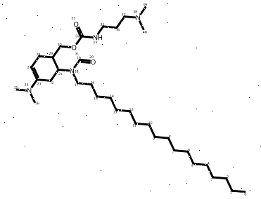 CCCCCCCCCCCCCCCCCCN(C=O)C1CC(N(C)C)=CCC1COC(=O)NCCCN(C)C